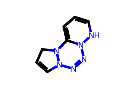 C1=Cn2nnn3[nH]cccc-3n2C1